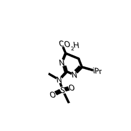 CC(C)C1=NC(N(C)S(C)(=O)=O)=NC(C(=O)O)C1